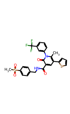 Cc1c(-c2cccs2)cc(C(=O)NCc2ccc(S(C)(=O)=O)cc2)c(=O)n1-c1cccc(C(F)(F)F)c1